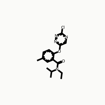 CCN(C(=O)c1cc(C)ccc1Oc1cnc(Cl)nn1)C(C)C